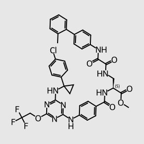 COC(=O)[C@H](CNC(=O)C(=O)Nc1ccc(-c2ccccc2C)cc1)NC(=O)c1ccc(Nc2nc(NC3(c4ccc(Cl)cc4)CC3)nc(OCC(F)(F)F)n2)cc1